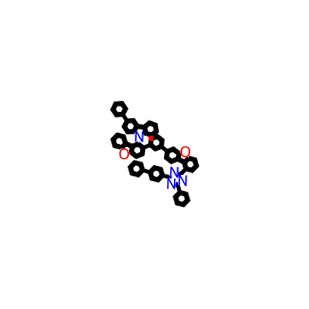 c1ccc(-c2ccc(-c3nc(-c4ccccc4)nc(-c4cccc5oc6cc(-c7cccc(-c8ccc9oc%10ccccc%10c9c8-n8c9ccccc9c9cc(-c%10ccccc%10)ccc98)c7)ccc6c45)n3)cc2)cc1